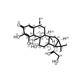 CC1(C)[C@@H]2C[C@H]3[C@@H]4C[C@H](F)C5=CC(=O)C(O)=C(O)[C@]5(C)[C@H]4[C@@H](O)C[C@]3(C)[C@@]21C(=O)CO